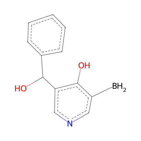 Bc1cncc(C(O)c2ccccc2)c1O